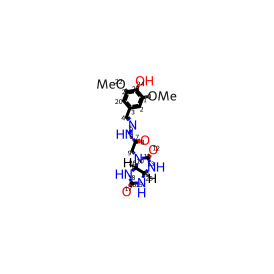 COc1cc(/C=N/NC(=O)CN2C(=O)N[C@H]3NC(=O)N[C@@H]32)cc(OC)c1O